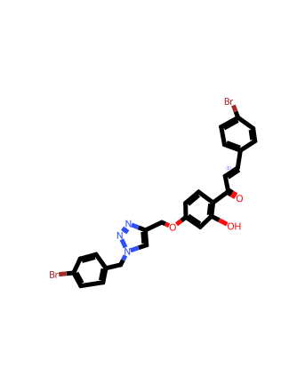 O=C(/C=C/c1ccc(Br)cc1)c1ccc(OCc2cn(Cc3ccc(Br)cc3)nn2)cc1O